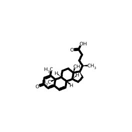 CC1=CC(=O)C=C2C=C[C@@H]3[C@H](CC[C@]4(C)[C@@H]([C@H](C)CCC(=O)O)CC[C@@H]34)[C@@]12C